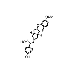 COc1ccc(F)c(O[C@H]2C[C@@H]3CN(CC(SO)c4ccc(O)cn4)C[C@@H]3C2)c1